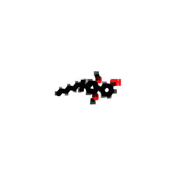 CCCCCCC(C)(C)c1cc(OC)c(C2CCCC(O)C2)c(OC)c1